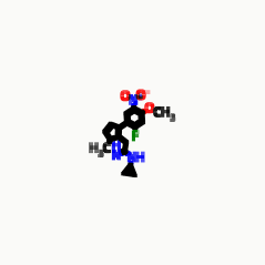 COc1cc(F)c(C2=C(CC(=N)NC3CC3)C(C)C=C2)cc1[N+](=O)[O-]